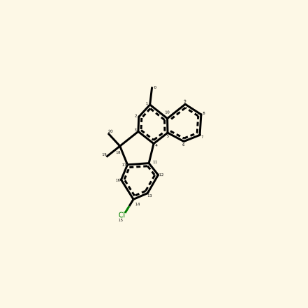 Cc1cc2c(c3ccccc13)-c1ccc(Cl)cc1C2(C)C